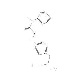 CCN(C(=O)COc1ccc(C[C@H](OC)C(=O)O)cc1)c1cccnc1